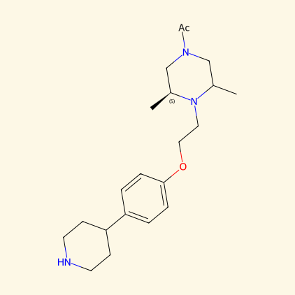 CC(=O)N1CC(C)N(CCOc2ccc(C3CCNCC3)cc2)[C@@H](C)C1